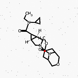 CCN(C(=O)C1[C@H]2CN(C3CC4COCC(C3)N4C(=O)OC)C[C@@H]12)C1CC1